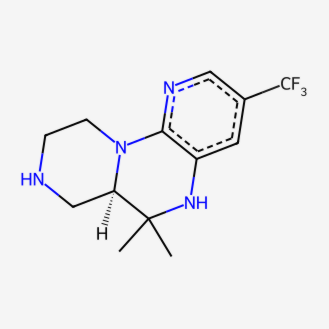 CC1(C)Nc2cc(C(F)(F)F)cnc2N2CCNC[C@@H]21